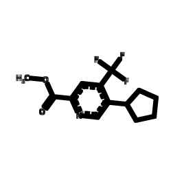 COC(=O)c1cc(C(F)(F)F)c(C2CCCC2)cn1